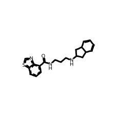 O=C(NCCCNC1CC2C=CC=CC2C1)c1cccc2scnc12